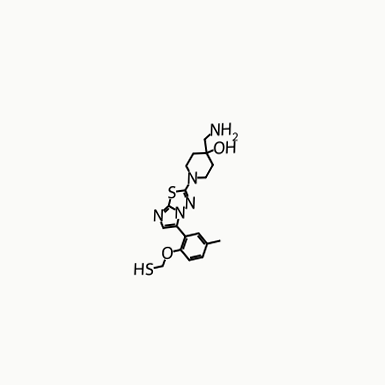 Cc1ccc(OCS)c(-c2cnc3sc(N4CCC(O)(CN)CC4)nn23)c1